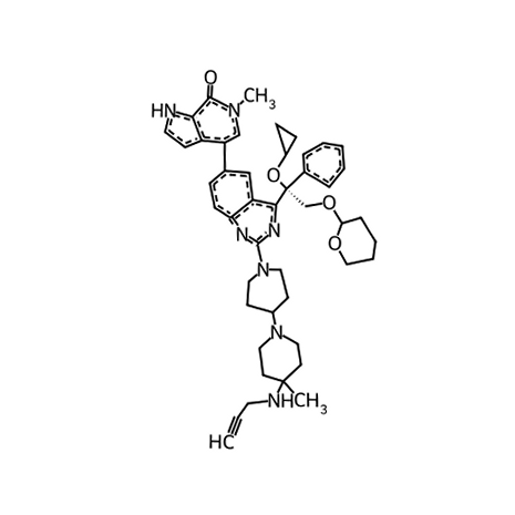 C#CCNC1(C)CCN(C2CCN(c3nc([C@@](COC4CCCCO4)(OC4CC4)c4ccccc4)c4cc(-c5cn(C)c(=O)c6[nH]ccc56)ccc4n3)CC2)CC1